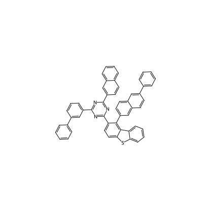 c1ccc(-c2cccc(-c3nc(-c4ccc5ccccc5c4)nc(-c4ccc5sc6ccccc6c5c4-c4ccc5cc(-c6ccccc6)ccc5c4)n3)c2)cc1